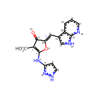 O=C(O)C1=C(Nc2cc[nH]n2)O/C(=C\c2c[nH]c3ncccc23)C1=O